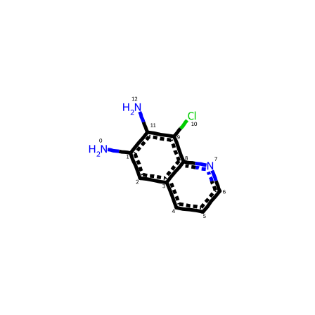 Nc1cc2cccnc2c(Cl)c1N